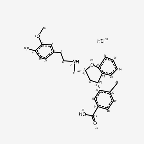 COc1cc(CCNC[C@H]2C[C@@H](c3cc(C(=O)O)ccc3C)c3ccccc3O2)ccc1F.Cl